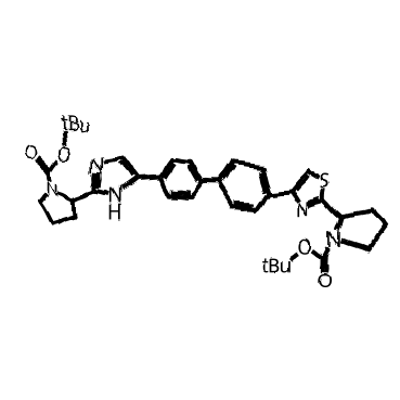 CC(C)(C)OC(=O)N1CCCC1c1ncc(-c2ccc(-c3ccc(-c4csc(C5CCCN5C(=O)OC(C)(C)C)n4)cc3)cc2)[nH]1